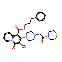 N#Cc1c(N2CCN(CC(=O)N3CCOCC3)CC2)c(C(=O)OCCCc2ccccc2)c2ccccn2c1=O